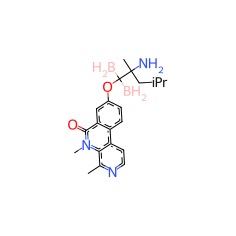 BC(B)(Oc1ccc2c(c1)c(=O)n(C)c1c(C)nccc21)C(C)(N)CC(C)C